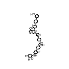 N#Cc1cnn2cc(-c3cnn(C4CCN(C(=O)CC5(O)CCN(c6ccc(NC7CCC(=O)NC7=O)cc6F)CC5)CC4)c3)nc(-c3ccc(N4CCC(c5cccc(O)c5)CC4)nc3)c12